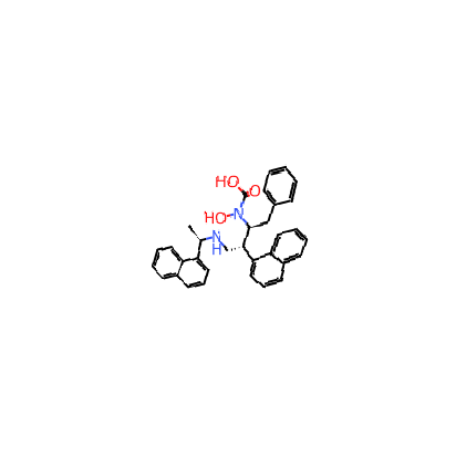 C[C@@H](NC[C@@H](c1cccc2ccccc12)[C@H](Cc1ccccc1)N(O)C(=O)O)c1cccc2ccccc12